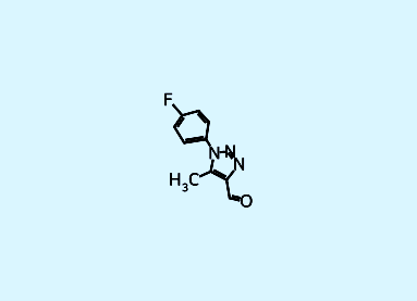 Cc1c(C=O)nnn1-c1ccc(F)cc1